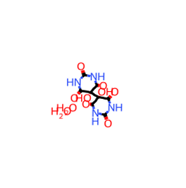 O.O.O=C1NC(=O)C(O)(C2(O)C(=O)NC(=O)NC2=O)C(=O)N1